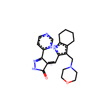 O=C1NN=C(c2ccncn2)/C1=C\c1[nH]c2c(c1CN1CCOCC1)CCCC2